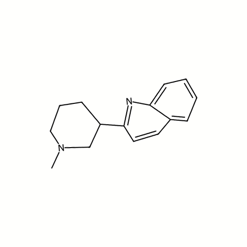 CN1CCCC(c2ccc3ccccc3n2)C1